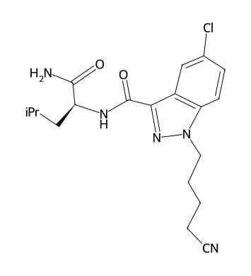 CC(C)C[C@H](NC(=O)c1nn(CCCCC#N)c2ccc(Cl)cc12)C(N)=O